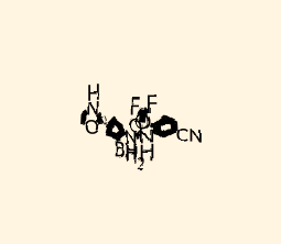 Bc1cc([C@H]2CNCCO2)ccc1NC(=O)Nc1cc(C#N)ccc1OC(F)F